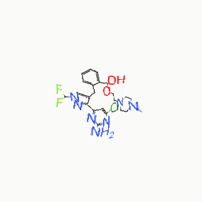 CN1CCN(CCOC(O)c2ccccc2Cc2cn(C(F)F)nc2-c2cc(Cl)nc(N)n2)CC1